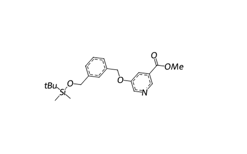 COC(=O)c1cncc(OCc2cccc(CO[Si](C)(C)C(C)(C)C)c2)c1